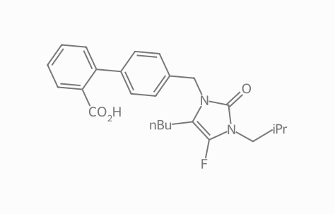 CCCCc1c(F)n(CC(C)C)c(=O)n1Cc1ccc(-c2ccccc2C(=O)O)cc1